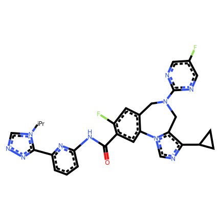 CC(C)n1cnnc1-c1cccc(NC(=O)c2cc3c(cc2F)CN(c2ncc(F)cn2)Cc2c(C4CC4)ncn2-3)n1